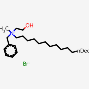 CCCCCCCCCCCCCCCCCCCCC[N+](C)(CCO)Cc1ccccc1.[Br-]